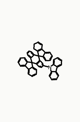 C1=CC2=C(CC1)C1(c3ccccc32)c2ccccc2C2(c3ccccc3-c3ccccc32)c2ccc(-n3c4ccccc4c4ccccc43)cc21